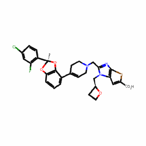 C[C@@]1(c2ccc(Cl)cc2F)Oc2cccc(C3=CCN(Cc4nc5sc(C(=O)O)cc5n4C[C@@H]4CCO4)CC3)c2O1